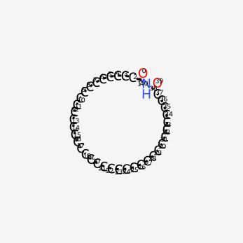 O=C1CCCCCCCCCCCCCCCCCCCCCCCCCCCCCCCCCCCCC(=O)N1